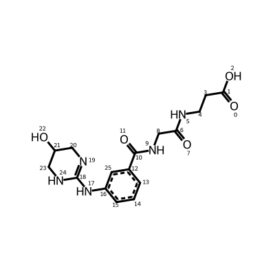 O=C(O)CCNC(=O)CNC(=O)c1cccc(NC2=NCC(O)CN2)c1